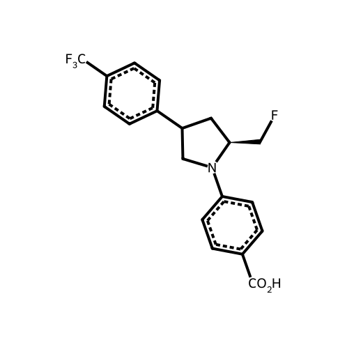 O=C(O)c1ccc(N2CC(c3ccc(C(F)(F)F)cc3)C[C@H]2CF)cc1